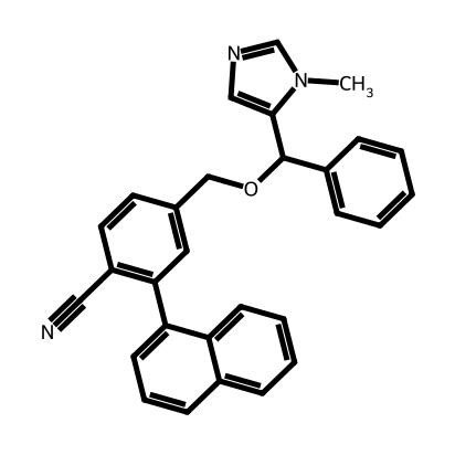 Cn1cncc1C(OCc1ccc(C#N)c(-c2cccc3ccccc23)c1)c1ccccc1